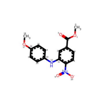 COC(=O)c1ccc([N+](=O)[O-])c(Nc2ccc(OC)cc2)c1